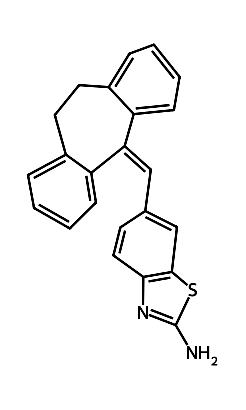 Nc1nc2ccc(C=C3c4ccccc4CCc4ccccc43)cc2s1